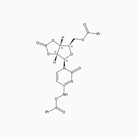 CC(C)C(=O)OC[C@H]1O[C@@H](n2ccc(NOC(=O)C(C)C)nc2=O)[C@@H]2OC(=O)O[C@@H]21